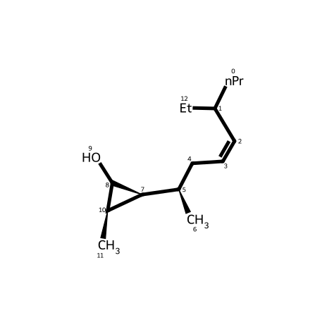 CCCC(/C=C\C[C@@H](C)[C@@H]1C(O)[C@@H]1C)CC